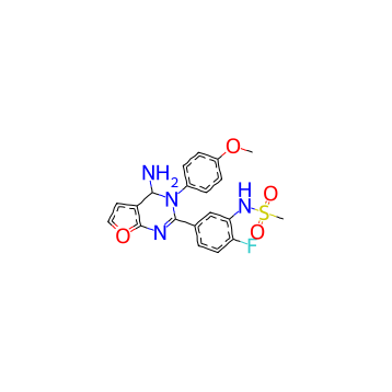 COc1ccc(N2C(c3ccc(F)c(NS(C)(=O)=O)c3)=Nc3occc3C2N)cc1